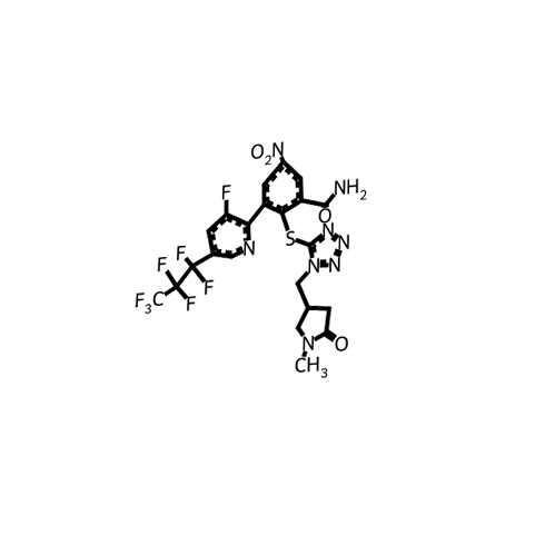 CN1CC(Cn2nnnc2Sc2c(C(N)=O)cc([N+](=O)[O-])cc2-c2ncc(C(F)(F)C(F)(F)C(F)(F)F)cc2F)CC1=O